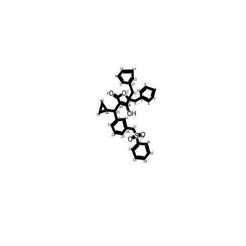 O=C1OC(Cc2ccccc2)(Cc2ccccc2)C(O)=C1C(c1cccc(CS(=O)(=O)c2ccccc2)c1)C1CC1